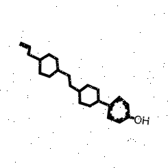 C=CCC1CCC(CCC2CCC(c3ccc(O)cc3)CC2)CC1